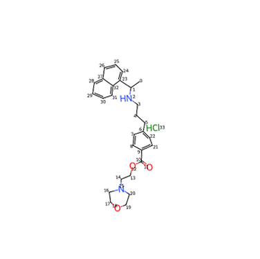 CC(NCCCc1ccc(C(=O)OCCN2CCOCC2)cc1)c1cccc2ccccc12.Cl